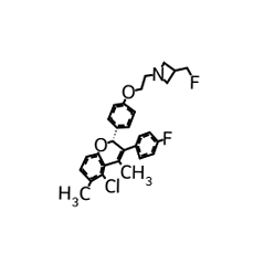 CC1=C(c2ccc(F)cc2)[C@@H](c2ccc(OCCN3CC(CF)C3)cc2)Oc2ccc(C)c(Cl)c21